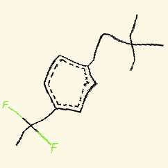 CC(C)(C)Cc1ccc(C(C)(F)F)cc1